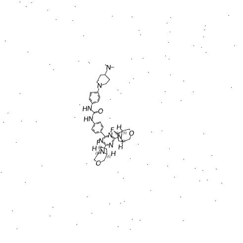 CN(C)C1CCN(c2ccc(NC(=O)Nc3ccc(-c4nc(N5[C@@H]6COC[C@H]5[C@H](F)C6)nc(N5[C@@H]6COC[C@H]5[C@H](F)C6)n4)cc3)cc2)CC1